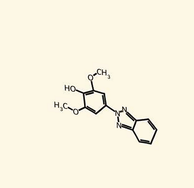 COc1cc(-n2nc3ccccc3n2)cc(OC)c1O